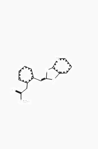 COC(=O)Cc1ccccc1C=C1Sc2cccnc2S1